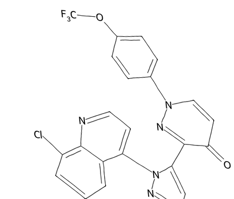 O=c1ccn(-c2ccc(OC(F)(F)F)cc2)nc1-c1ccnn1-c1ccnc2c(Cl)cccc12